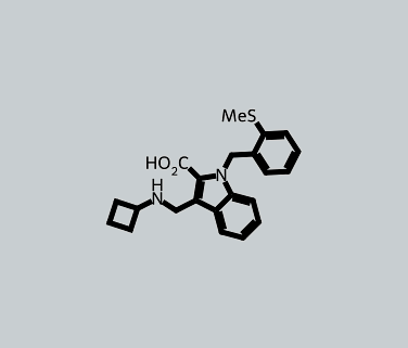 CSc1ccccc1Cn1c(C(=O)O)c(CNC2CCC2)c2ccccc21